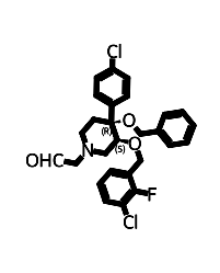 O=CCN1CC[C@@](OCc2ccccc2)(c2ccc(Cl)cc2)[C@@H](OCc2cccc(Cl)c2F)C1